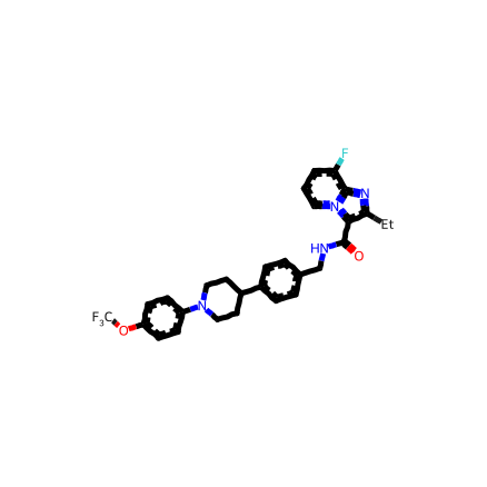 CCc1nc2c(F)cccn2c1C(=O)NCc1ccc(C2CCN(c3ccc(OC(F)(F)F)cc3)CC2)cc1